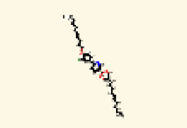 CCCCCCCCCCOc1ccc(-c2ccc([C@H]3OC[C@H](CCCCCCCCCC)CO3)cn2)cc1F